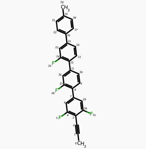 CC#Cc1c(F)cc(-c2ccc(-c3ccc(-c4ccc(C)cc4)cc3F)cc2F)cc1F